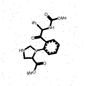 COC(=O)NC(C(=O)c1ccccc1N1CNCC1C(=O)OC)C(C)C